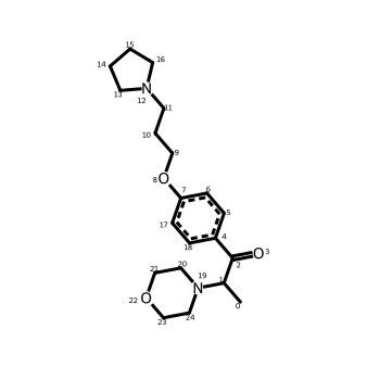 CC(C(=O)c1ccc(OCCCN2CCCC2)cc1)N1CCOCC1